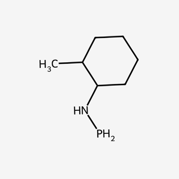 CC1CCCCC1NP